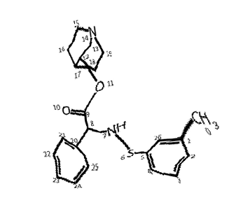 Cc1cccc(SNC(C(=O)OC2CN3CCC2CC3)c2ccccc2)c1